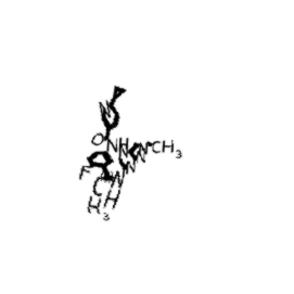 CCn1cc2ncc(N[C@@H](C)c3cc(NC(=O)c4ccc(C5CC5)nc4)ccc3F)nc2n1